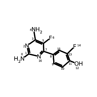 Nc1nc(N)c(F)c(-c2ccc(O)c(F)c2)n1